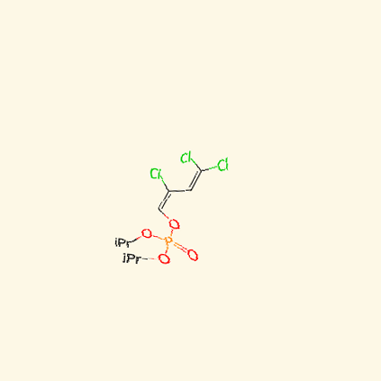 CC(C)OP(=O)(O/C=C(/Cl)C=C(Cl)Cl)OC(C)C